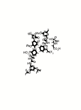 CC(C)Oc1cc(-n2nc(C(C)(C)C)oc2=O)c(Cl)cc1Cl.COc1nc(C)nc(NC(=O)NS(=O)(=O)c2ccccc2CCC(F)(F)F)n1.O=C(Nc1nc(OC(F)F)cc(OC(F)F)n1)NS(=O)(=O)c1ccccc1C(=O)O.O=C(O)CNCP(=O)(O)O